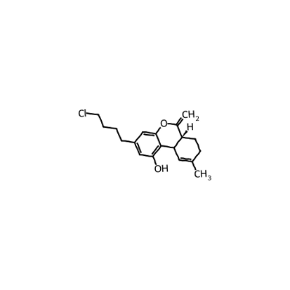 C=C1Oc2cc(CCCCCl)cc(O)c2C2C=C(C)CC[C@@H]12